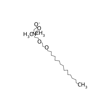 CCCCCCCCCCCCCCCCOCCOCC[N+](C)(C)CC(=O)[O-]